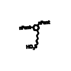 CCCCCc1cc(CCCC=CS(=O)(=O)O)cc(CCCCC)c1